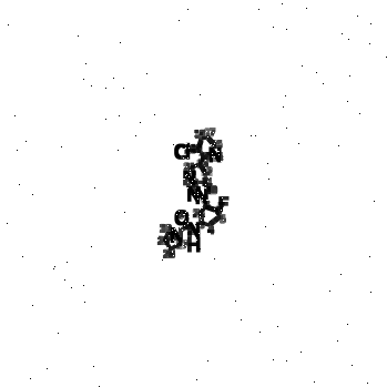 O=C(Nc1ccc(F)c(-n2cc3cc(-c4ncccc4Cl)cnc3n2)c1)N1CCCC1